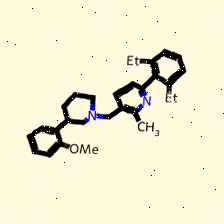 CCc1cccc(CC)c1-c1ccc(CN2CCCC(c3ccccc3OC)C2)c(C)n1